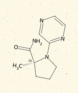 C[C@@]1(C(N)=O)CCCN1c1cnccn1